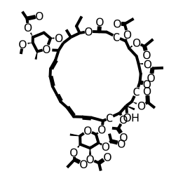 CCC1OC(=O)CC[C@@H](OC(C)=O)[C@H](OC(C)=O)C[C@H](OC(C)=O)CC(=O)C[C@H](OC(C)=O)[C@](C)(O)C(OC(C)=O)CC(O[C@@H]2O[C@H](C)[C@@H](OC(C)=O)[C@H](OC(C)=O)[C@@H]2OC(C)=O)/C=C/C=C/C=C/C=C/C=C/C(C)C(O[C@H]2C[C@@H](OC(C)=O)[C@@H](OC)[C@H](C)O2)C1C